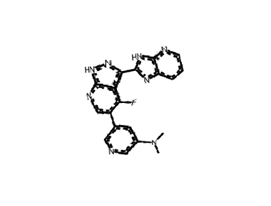 CN(C)c1cncc(-c2cnc3[nH]nc(-c4nc5cccnc5[nH]4)c3c2F)c1